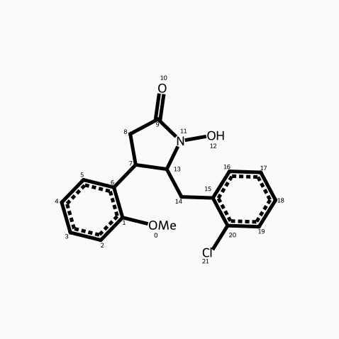 COc1ccccc1C1CC(=O)N(O)C1Cc1ccccc1Cl